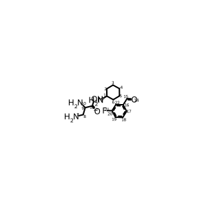 NC1CCCCC1.NCC(N)C(=O)O.O=Cc1cccc(F)c1